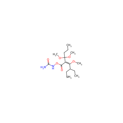 CCCC(OC)(OC)C(C(=O)ONC(N)=O)=C(OC)C(CC)C[SiH3]